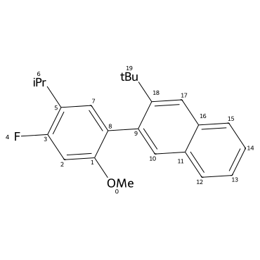 COc1cc(F)c(C(C)C)cc1-c1cc2ccccc2cc1C(C)(C)C